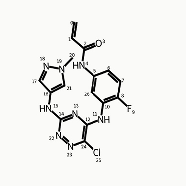 C=CC(=O)Nc1ccc(F)c(Nc2nc(Nc3cnn(C)c3)nnc2Cl)c1